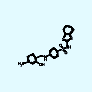 Bc1ccc(CNc2ccc(S(=O)(=O)Nc3nc4ccccc4s3)cc2)c(O)c1